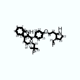 C[C@@H]1Cc2c([nH]c3ccccc23)[C@@H](c2ccc(OCCC3NCC[C@H]3CF)cc2)N1CC(C)(C)F